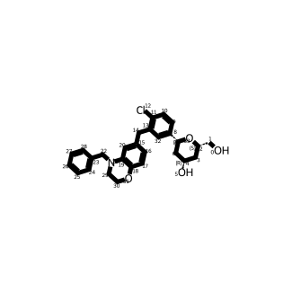 OC[C@@H]1C[C@H](O)C[C@H](c2ccc(Cl)c(Cc3ccc4c(c3)N(Cc3ccccc3)CCO4)c2)O1